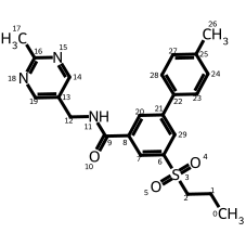 CCCS(=O)(=O)c1cc(C(=O)NCc2cnc(C)nc2)cc(-c2ccc(C)cc2)c1